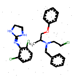 CC(COc1ccccc1)N(CCCl)Cc1ccccc1.Clc1cccc(Cl)c1N=C1NCCN1